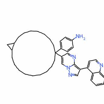 Nc1ccc(C2(c3cnc4c(-c5ccnc6ccccc56)cnn4c3)CCCCCCCCCC3CC3CCCCCCC2)cc1